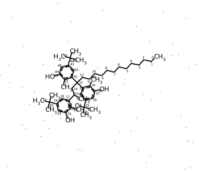 CCCCCCCCCCCCCC(CC(C)c1cc(C(C)(C)C)cc(O)c1C)(c1cc(C(C)(C)C)cc(O)c1C)c1cc(C(C)(C)C)cc(O)c1C